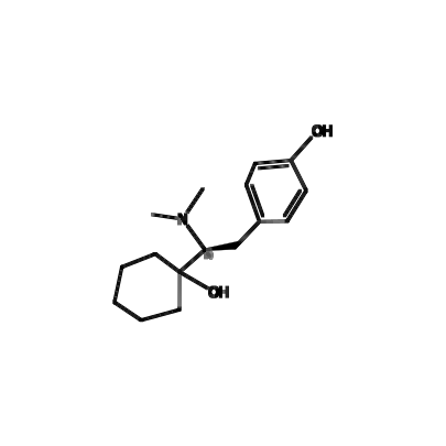 CN(C)[C@@H](Cc1ccc(O)cc1)C1(O)CCCCC1